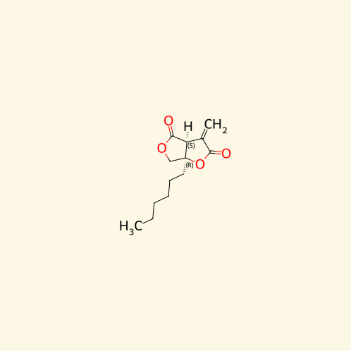 C=C1C(=O)O[C@@]2(CCCCCC)COC(=O)[C@@H]12